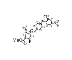 COC(=O)c1cc(C2CC2)c(OCC2CCN(Cc3ccc(C4CC4)cc3Cl)CC2)cc1F